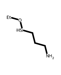 CCO[SiH]CCCN